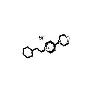 [Br-].c1c[n+](CCC2CCCCC2)ccc1N1CCOCC1